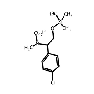 CN(C(=O)O)C(CO[Si](C)(C)C(C)(C)C)c1ccc(Cl)cc1